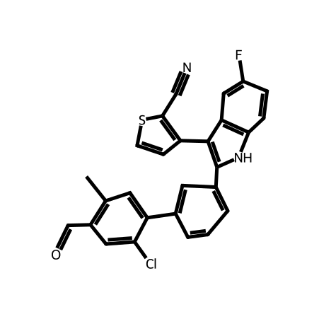 Cc1cc(-c2cccc(-c3[nH]c4ccc(F)cc4c3-c3ccsc3C#N)c2)c(Cl)cc1C=O